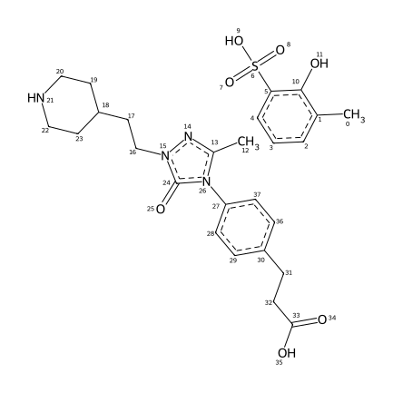 Cc1cccc(S(=O)(=O)O)c1O.Cc1nn(CCC2CCNCC2)c(=O)n1-c1ccc(CCC(=O)O)cc1